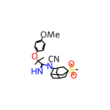 COc1ccc(OC(C)(C)C(=N)N(C#N)C2C3CC4CC2CC(S(C)(=O)=O)(C4)C3)cc1